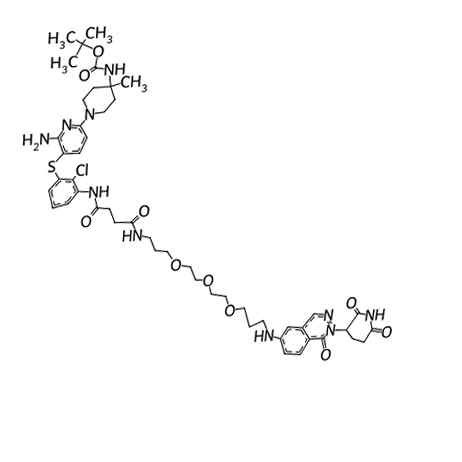 CC1(NC(=O)OC(C)(C)C)CCN(c2ccc(Sc3cccc(NC(=O)CCC(=O)NCCCOCCOCCOCCCNc4ccc5c(=O)n(C6CCC(=O)NC6=O)ncc5c4)c3Cl)c(N)n2)CC1